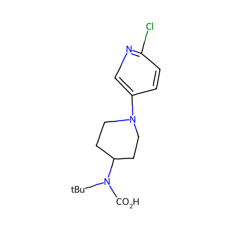 CC(C)(C)N(C(=O)O)C1CCN(c2ccc(Cl)nc2)CC1